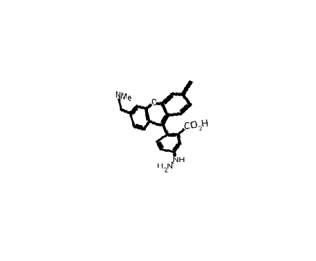 C=c1ccc2c(c1)Oc1cc(CNC)ccc1C=2c1ccc(NN)cc1C(=O)O